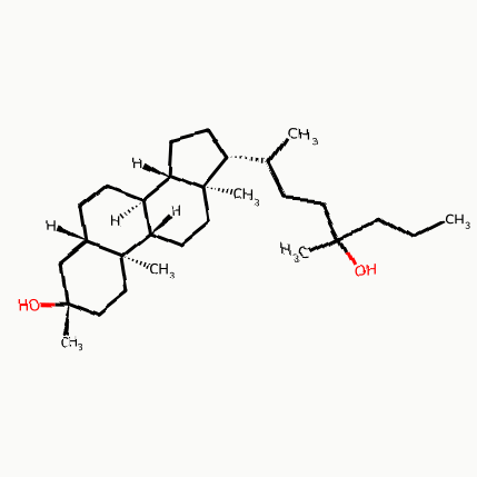 CCCC(C)(O)CCC(C)[C@H]1CC[C@H]2[C@@H]3CC[C@H]4C[C@@](C)(O)CC[C@]4(C)[C@H]3CC[C@]12C